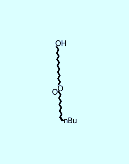 CCCC/C=C\CCCCCCCC(=O)OCCCCCCCCCCCCCO